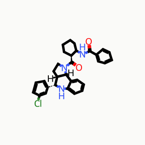 O=C(NC1CCCC[C@@H]1C(=O)N1CC[C@H]2[C@@H](c3cccc(Cl)c3)Nc3ccccc3[C@H]21)c1ccccc1